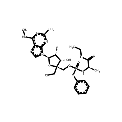 CCOC(=O)[C@@H](C)NP(=S)(OC[C@@]1(CCl)O[C@@H](n2cnc3c(NC)nc(C)nc32)[C@H](F)[C@@H]1O)Oc1ccccc1